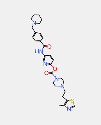 Cc1ncsc1CCN1CCN(C(=O)Oc2ccc(NC(=O)c3ccc(CN4CCCCC4)cc3)cn2)CC1